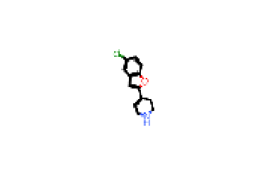 Clc1ccc2oc(C3=CCNCC3)cc2c1